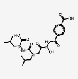 CC(C)C[C@H](CC(=O)N(O)NC(=O)c1ccc(C(=O)O)cc1)C(=O)N[C@@H](CC(C)C)C(=O)O